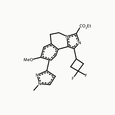 CCOC(=O)c1nc(C2CC(F)(F)C2)c2n1CCc1cc(OC)c(-c3ccn(C)n3)cc1-2